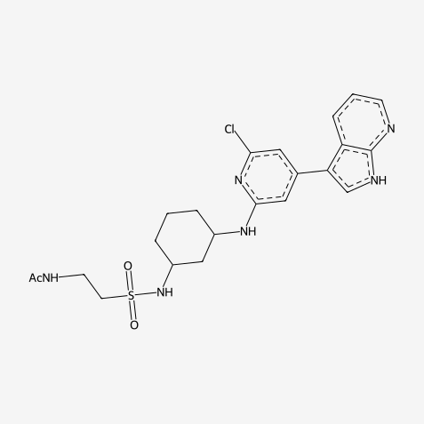 CC(=O)NCCS(=O)(=O)NC1CCCC(Nc2cc(-c3c[nH]c4ncccc34)cc(Cl)n2)C1